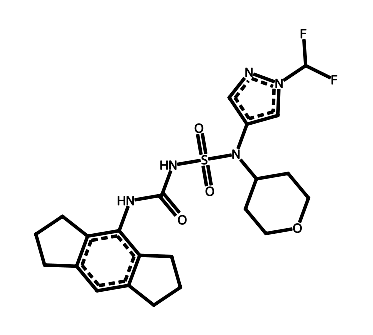 O=C(Nc1c2c(cc3c1CCC3)CCC2)NS(=O)(=O)N(c1cnn(C(F)F)c1)C1CCOCC1